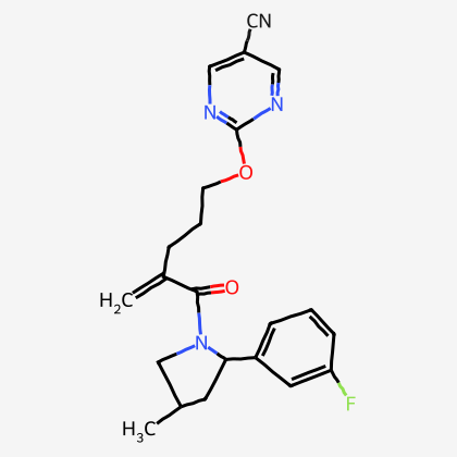 C=C(CCCOc1ncc(C#N)cn1)C(=O)N1CC(C)CC1c1cccc(F)c1